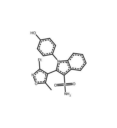 CCc1noc(C)c1-c1c(S(N)(=O)=O)c2ccccc2n1-c1ccc(O)cc1